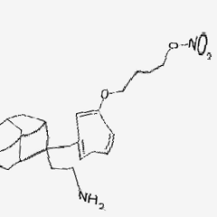 NCCC1(c2cccc(OCCCO[N+](=O)[O-])c2)C2CC3CC(C2)CC1C3